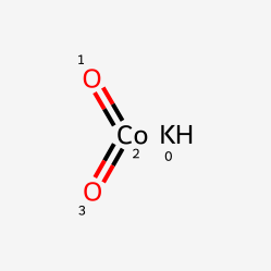 [KH].[O]=[Co]=[O]